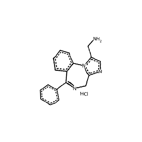 Cl.NCc1cnc2n1-c1ccccc1C(c1ccccc1)=NC2